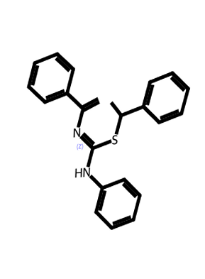 C=C(/N=C(/Nc1ccccc1)SC(C)c1ccccc1)c1ccccc1